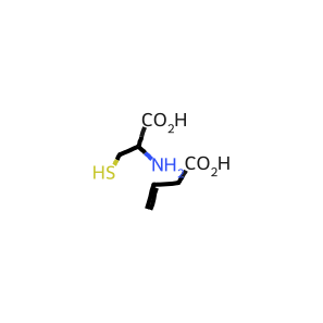 C=CCC(=O)O.NC(CS)C(=O)O